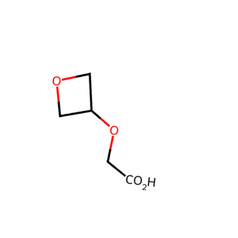 O=C(O)COC1COC1